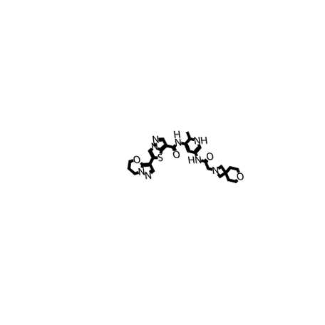 CC1NC=C(NC(=O)CN2CC3(CCOCC3)C2)C=C1NC(=O)c1cnn2cc(-c3cnn4c3OCCC4)sc12